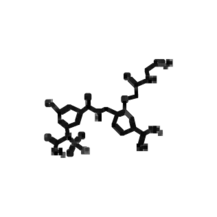 CCS(=O)(=O)N(C(N)=O)c1cc(Cl)cc(C(=O)NCc2ccc(C(=N)N)cc2OCC(=O)NCC(=O)O)c1